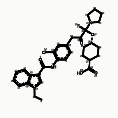 CCn1cc(C(=O)Nc2ccc(CC(=O)C(F)(O[C@H]3CC[C@H](C(=O)O)CC3)N3CCCC3)cc2Cl)c2ccccc21